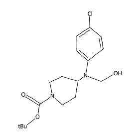 CC(C)(C)OC(=O)N1CCC(N(CO)c2ccc(Cl)cc2)CC1